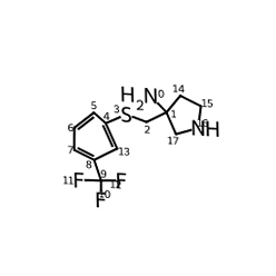 NC1(CSc2cccc(C(F)(F)F)c2)CCNC1